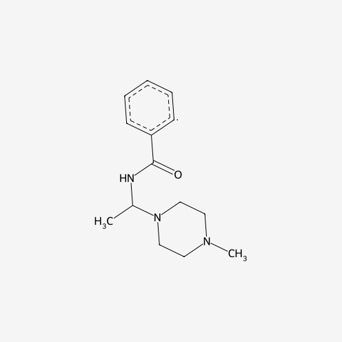 CC(NC(=O)c1[c]cccc1)N1CCN(C)CC1